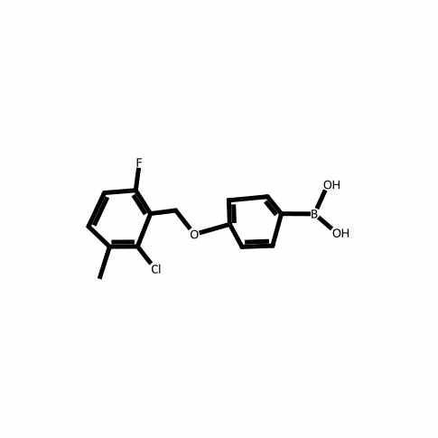 Cc1ccc(F)c(COc2ccc(B(O)O)cc2)c1Cl